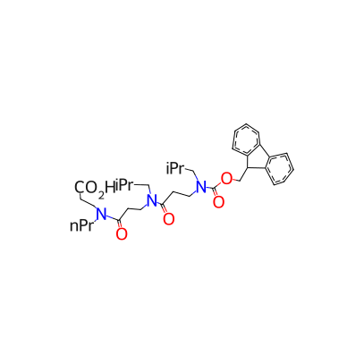 CCCN(CCC(=O)O)C(=O)CCN(CC(C)C)C(=O)CCN(CC(C)C)C(=O)OCC1c2ccccc2-c2ccccc21